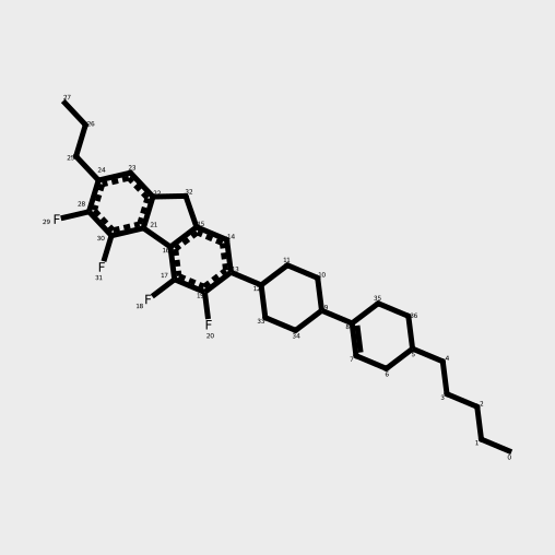 CCCCCC1CC=C(C2CCC(c3cc4c(c(F)c3F)-c3c(cc(CCC)c(F)c3F)C4)CC2)CC1